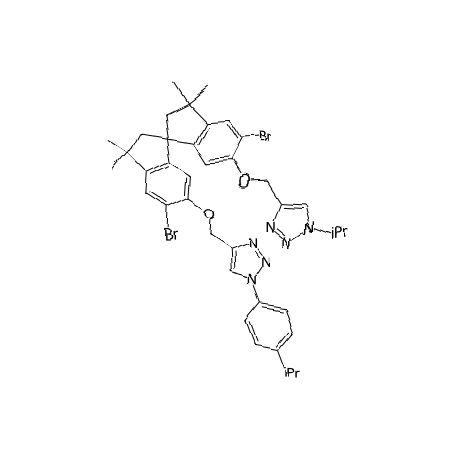 CC(C)c1ccc(-n2cc(COc3cc4c(cc3Br)C(C)(C)CC43CC(C)(C)c4cc(Br)c(OCc5cn(C(C)C)nn5)cc43)nn2)cc1